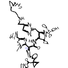 NCCCNCc1cnn(CC2C(NC(=O)/C(=N\OC3(C(=O)O)CC3)c3nsc(N)n3)C(=O)N2S(=O)(=O)O)n1